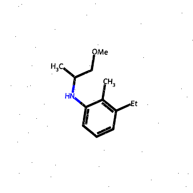 CCc1cccc(NC(C)COC)c1C